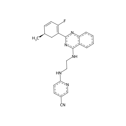 C[C@H]1C=CC(F)=C(c2nc(NCCNc3ccc(C#N)cn3)c3ccccc3n2)C1